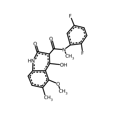 COc1c(C)ccc2[nH]c(=O)c(C(=O)N(C)c3cc(F)ccc3F)c(O)c12